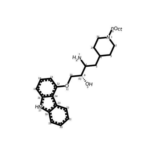 CCCCCCCCN1CCC(CC(N)[C@H](O)COc2cccc3[nH]c4ccccc4c23)CC1